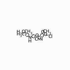 COc1cc2c(Oc3ccc(Nc4ccc(C(C)(C)C)cc4)cc3Cl)ccnc2cc1OCCCl